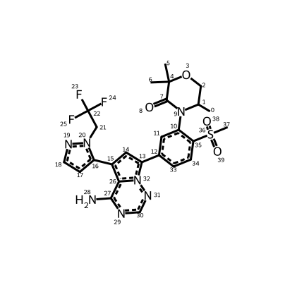 CC1COC(C)(C)C(=O)N1c1cc(-c2cc(-c3ccnn3CC(F)(F)F)c3c(N)ncnn23)ccc1S(C)(=O)=O